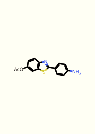 CC(=O)Oc1ccc2nc(-c3ccc(N)cc3)sc2c1